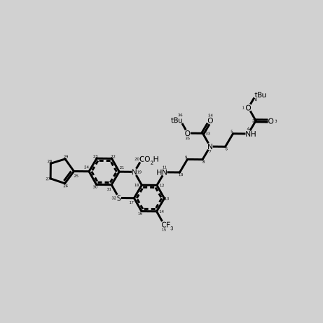 CC(C)(C)OC(=O)NCCN(CCCNc1cc(C(F)(F)F)cc2c1N(C(=O)O)c1ccc(C3=CCCC3)cc1S2)C(=O)OC(C)(C)C